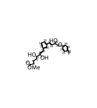 COC(=O)CCC[C@H](O)[C@H](O)/C=C/c1cccc(/C=C/[C@H](O)COc2ccc(F)cc2)c1